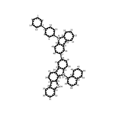 c1ccc(-c2ccc(-n3c4ccccc4c4cc(-c5ccc6c(c5)c5ccc7c8ccccc8sc7c5n6-c5cccc6ccccc56)ccc43)cc2)cc1